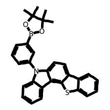 CC1(C)OB(c2cccc(-n3c4ccccc4c4c5sc6ccccc6c5ccc43)c2)OC1(C)C